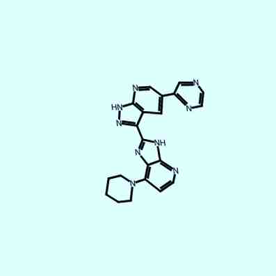 c1cnc(-c2cnc3[nH]nc(-c4nc5c(N6CCCCC6)ccnc5[nH]4)c3c2)cn1